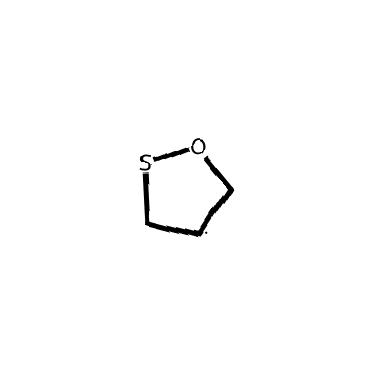 [CH]1COSC1